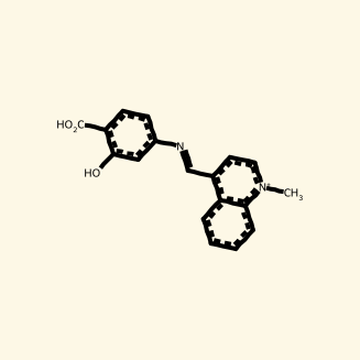 C[n+]1ccc(C=Nc2ccc(C(=O)O)c(O)c2)c2ccccc21